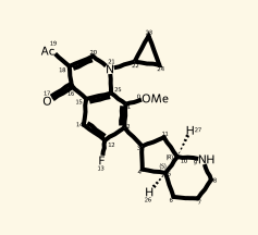 COc1c(C2C[C@@H]3CCCN[C@@H]3C2)c(F)cc2c(=O)c(C(C)=O)cn(C3CC3)c12